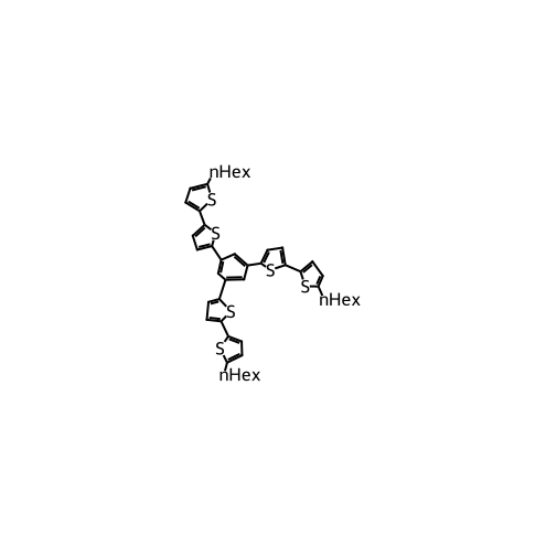 CCCCCCc1ccc(-c2ccc(-c3cc(-c4ccc(-c5ccc(CCCCCC)s5)s4)cc(-c4ccc(-c5ccc(CCCCCC)s5)s4)c3)s2)s1